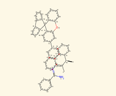 C/C(=C(\N=C(/N)c1ccccc1)c1ccc(-c2ccc3c(c2)Oc2ccccc2C32c3ccccc3-c3ccccc32)cc1)[C@H](C)c1ccccc1-c1ccccc1